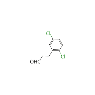 O=C/C=C/c1cc(Cl)ccc1Cl